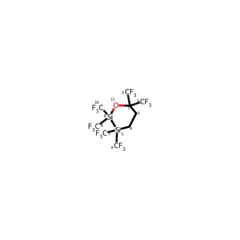 FC(F)(F)C1(C(F)(F)F)CC[Si](C(F)(F)F)(C(F)(F)F)[Si](C(F)(F)F)(C(F)(F)F)O1